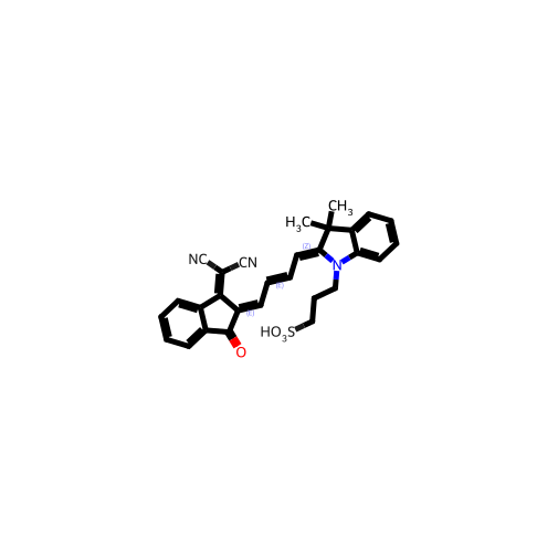 CC1(C)/C(=C/C=C/C=C2/C(=O)c3ccccc3C2=C(C#N)C#N)N(CCCS(=O)(=O)O)c2ccccc21